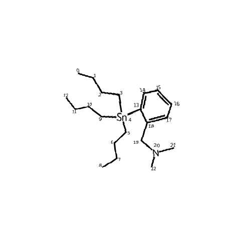 CCC[CH2][Sn]([CH2]CCC)([CH2]CCC)[c]1ccccc1CN(C)C